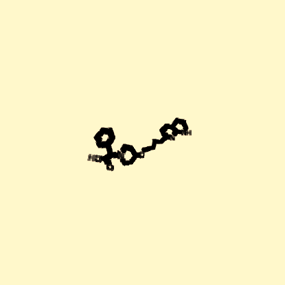 O=C(O)C(c1ccccc1)N1CCC(OCCCCc2ccc3c(n2)NCCC3)CC1